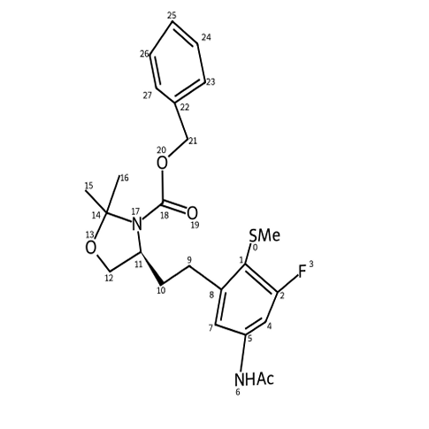 CSc1c(F)cc(NC(C)=O)cc1CC[C@H]1COC(C)(C)N1C(=O)OCc1ccccc1